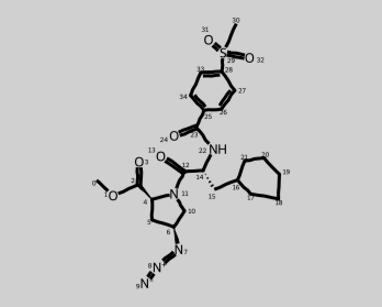 COC(=O)[C@@H]1C[C@H](N=[N+]=[N-])CN1C(=O)[C@@H](CC1CCCCC1)NC(=O)c1ccc(S(C)(=O)=O)cc1